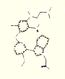 CCc1cnc(Nc2cc([N+](=O)[O-])c(N(C)CCN(C)C)cc2C)nc1-c1cn(CC(N)=O)c2ccccc12